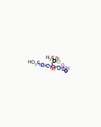 Cc1cc(CC(CC(=O)N2CCC(N3Cc4ccccc4NC3=O)CC2)C(=O)N2CCC(N3CCN(CC(=O)O)CC3)CC2)cc(Cl)c1Br